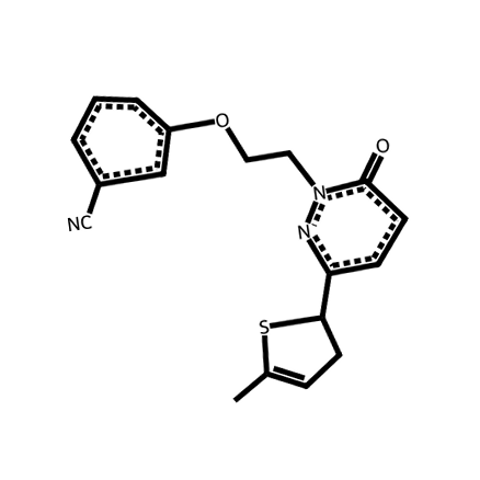 CC1=CCC(c2ccc(=O)n(CCOc3cccc(C#N)c3)n2)S1